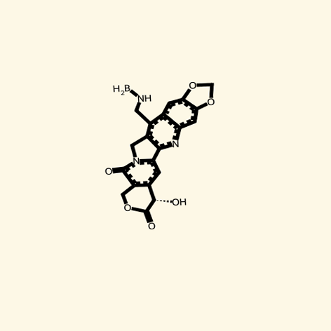 BNCc1c2c(nc3cc4c(cc13)OCO4)-c1cc3c(c(=O)n1C2)COC(=O)[C@H]3O